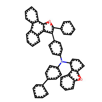 c1ccc(-c2ccc(N(c3ccc(-c4c(-c5ccccc5)oc5c6ccccc6c6ccccc6c45)cc3)c3cccc4oc5ccccc5c34)cc2)cc1